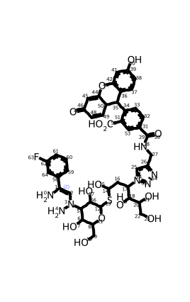 N/C(=C\N(N)C1C(O)C(CO)OC(SC(O)CC(C(O)C(O)CO)n2cc(CNC(=O)c3ccc(C4c5ccc(O)cc5OC5=CC(=O)C=CC54)c(C(=O)O)c3)nn2)C1O)c1cccc(F)c1